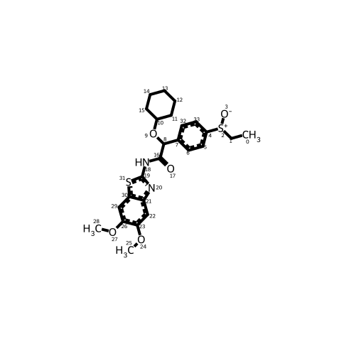 CC[S+]([O-])c1ccc(C(OC2CCCCC2)C(=O)Nc2nc3cc(OC)c(OC)cc3s2)cc1